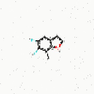 Cc1c(F)c(F)cc2ccoc12